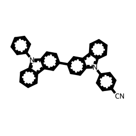 N#Cc1ccc(-n2c3ccccc3c3cc(-c4ccc5c(c4)c4ccccc4n5-c4ccccc4)ccc32)cc1